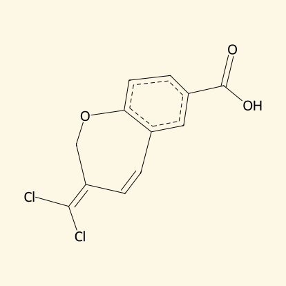 O=C(O)c1ccc2c(c1)C=CC(=C(Cl)Cl)CO2